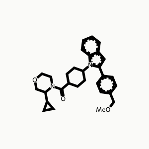 COCc1ccc(-c2cc3ccccc3n2C2CCC(C(=O)N3CCOCC3C3CC3)CC2)cc1